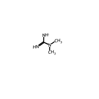 CN(C)C([NH])=N